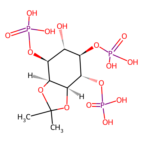 CC1(C)O[C@@H]2[C@@H](OP(=O)(O)O)[C@H](OP(=O)(O)O)[C@@H](O)[C@H](OP(=O)(O)O)[C@@H]2O1